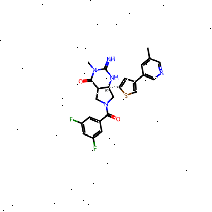 Cc1cncc(-c2csc([C@]34CN(C(=O)c5cc(F)cc(F)c5)CC3C(=O)N(C)C(=N)N4)c2)c1